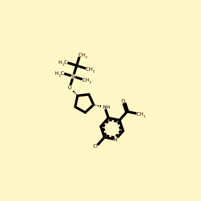 CC(=O)c1cnc(Cl)cc1N[C@@H]1CC[C@H](O[Si](C)(C)C(C)(C)C)C1